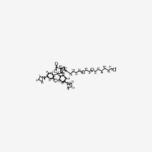 O=C1OC2(c3ccc(N4CCC4)cc3Oc3cc(N4CCC4)ccc32)c2cc(CCCCOCCOCCCCCCCl)ccc21